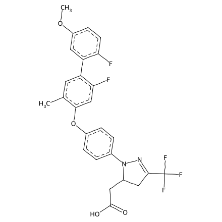 COc1ccc(F)c(-c2cc(C)c(Oc3ccc(N4N=C(C(F)(F)F)CC4CC(=O)O)cc3)cc2F)c1